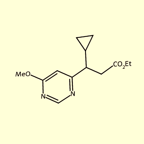 CCOC(=O)CC(c1cc(OC)ncn1)C1CC1